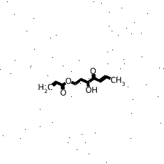 C=CC(=O)OCCC(O)C(=O)C=CC